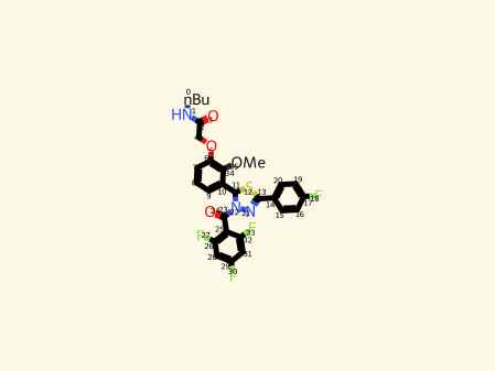 CCCCNC(=O)COc1cccc(C2SC(c3ccc(F)cc3)=NN2C(=O)c2c(F)cc(F)cc2F)c1OC